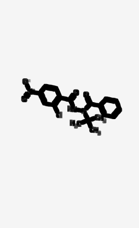 CC(C)(C)N(NC(=O)c1ccc([N+](=O)[O-])cc1Cl)C(=O)c1ccccc1